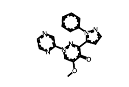 COc1cn(-c2cnccn2)nc(-c2ccnn2-c2ccccc2)c1=O